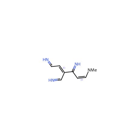 CN/C=C\C(=N)/C(C=N)=C/C=N